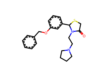 O=C1CSC(c2cccc(OCc3ccccc3)c2)N1CCN1CCCC1